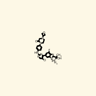 CC(C)n1c(C(C)(C)O)nc2c(F)cc(-c3nc(Nc4ccc(N5CCN(C6COC6)CC5=O)cc4)ncc3Cl)cc21